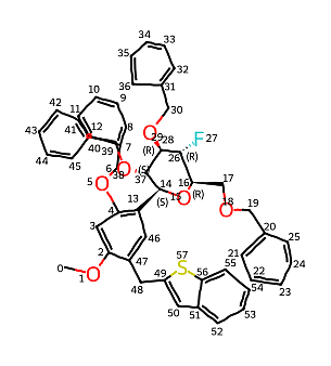 COc1cc(OCc2ccccc2)c([C@@H]2O[C@H](COCc3ccccc3)[C@@H](F)[C@H](OCc3ccccc3)[C@H]2OCc2ccccc2)cc1Cc1cc2ccccc2s1